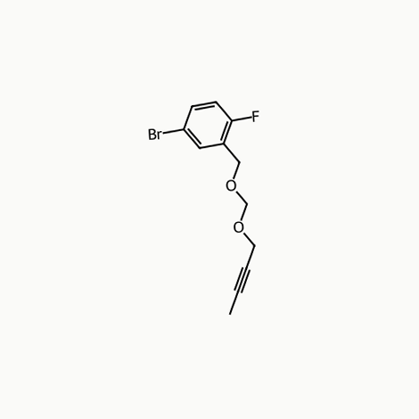 CC#CCOCOCc1cc(Br)ccc1F